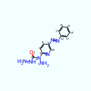 NNC(=O)N(N)c1ccc(N=Nc2ccccc2)cn1